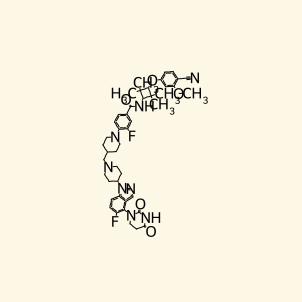 COc1cc(OC2C(C)(C)C(NC(=O)c3ccc(N4CCC(CN5CCC(n6ncc7c(N8CCC(=O)NC8=O)c(F)ccc76)CC5)CC4)c(F)c3)C2(C)C)ccc1C#N